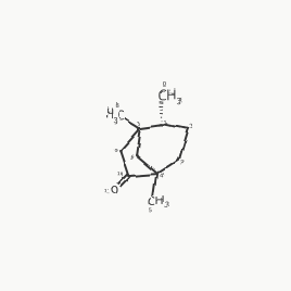 C[C@@H]1CCC2(C)CC1(C)CC2=O